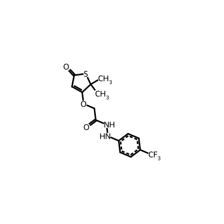 CC1(C)SC(=O)C=C1OCC(=O)NNc1ccc(C(F)(F)F)cc1